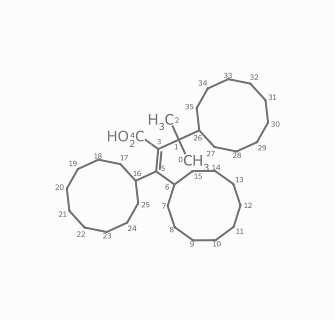 CC(C)(C(C(=O)O)=C(C1CCCCCCCCC1)C1CCCCCCCCC1)C1CCCCCCCCC1